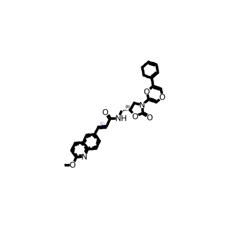 COc1ccc2cc(/C=C/C(=O)NC[C@@H]3CN(C4=COC=C(C5=CC=CCC5)O4)C(=O)O3)ccc2n1